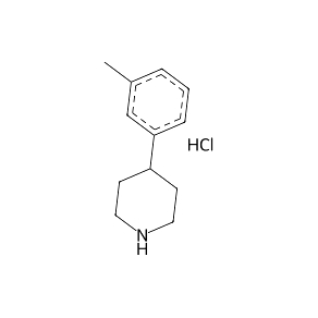 Cc1cccc(C2CCNCC2)c1.Cl